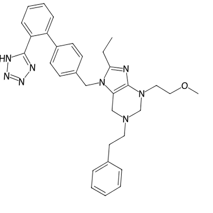 CCc1nc2c(n1Cc1ccc(-c3ccccc3-c3nnn[nH]3)cc1)CN(CCc1ccccc1)CN2CCOC